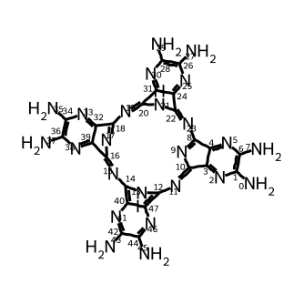 Nc1nc2c(nc1N)-c1nc-2nc2[nH]c(nc3nc(nc4[nH]c(n1)c1nc(N)c(N)nc41)-c1nc(N)c(N)nc1-3)c1nc(N)c(N)nc21